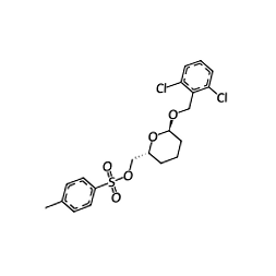 Cc1ccc(S(=O)(=O)OC[C@H]2CCC[C@H](OCc3c(Cl)cccc3Cl)O2)cc1